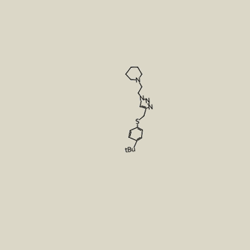 CC(C)(C)c1ccc(SCc2cn(CCN3CCCCC3)nn2)cc1